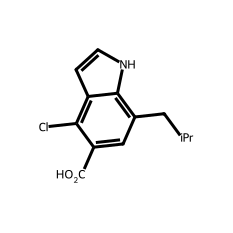 CC(C)Cc1cc(C(=O)O)c(Cl)c2cc[nH]c12